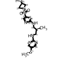 CSc1cnc(NC[C@H](C)CNc2ncc(S(=O)(=O)N3CC(O)C3)s2)nc1